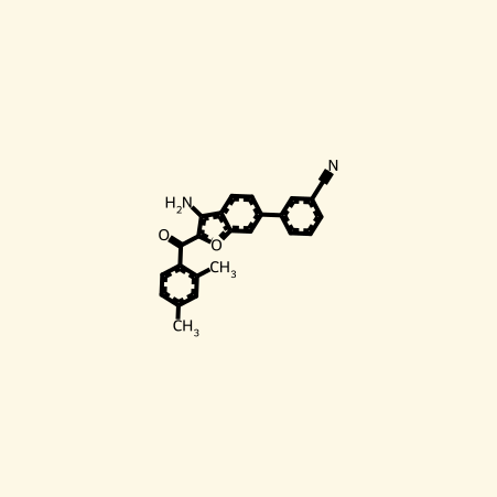 Cc1ccc(C(=O)c2oc3cc(-c4cccc(C#N)c4)ccc3c2N)c(C)c1